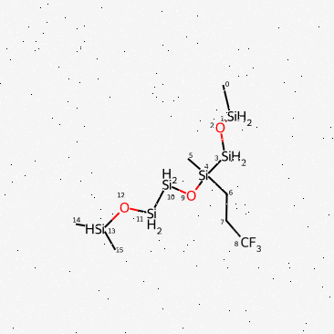 C[SiH2]O[SiH2][Si](C)(CCC(F)(F)F)O[SiH2][SiH2]O[SiH](C)C